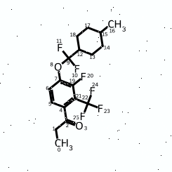 CCC(=O)c1ccc(OC(F)(F)C2CCC(C)CC2)c(F)c1C(F)(F)F